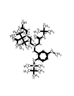 COc1ccc(O[Si](C)(C)C(C)(C)C)c(CN(CCN(CC(=O)O)C(C(=O)O)(C(C)(C)C)C(C)(C)C)CC(=O)OC(C)(C)C)c1